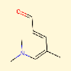 CC(C=CC=O)=CN(C)C